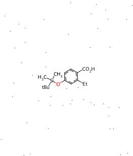 CCc1cc(O[Si](C)(C)C(C)(C)C)ccc1C(=O)O